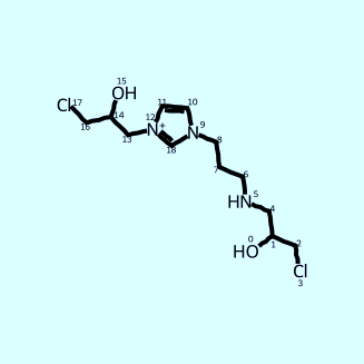 OC(CCl)CNCCCn1cc[n+](CC(O)CCl)c1